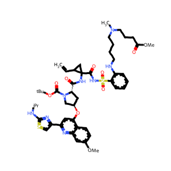 C=CC1CC1(NC(=O)[C@@H]1C[C@@H](Oc2cc(-c3csc(NC(C)C)n3)nc3cc(OC)ccc23)CN1C(=O)OC(C)(C)C)C(=O)NS(=O)(=O)c1ccccc1NCCCCN(C)CCCC(=O)OC